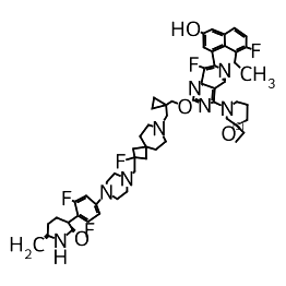 C=C1CCC(c2c(F)cc(N3CCN(CC4(F)CC5(CCN(CC6(COc7nc(N8CCC[C@]9(CCO9)C8)c8cnc(-c9cc(O)cc%10ccc(F)c(CC)c9%10)c(F)c8n7)CC6)CC5)C4)CC3)cc2F)C(=O)N1